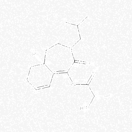 CC(C)CN1CC[C@@H]2CCC=CC2=C(NC(=O)[C@H](C)N)C1=O